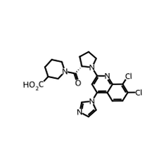 O=C(O)C1CCCN(C(=O)[C@@H]2CCCN2c2cc(-n3ccnc3)c3ccc(Cl)c(Cl)c3n2)C1